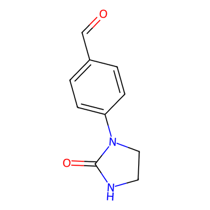 O=Cc1ccc(N2CCNC2=O)cc1